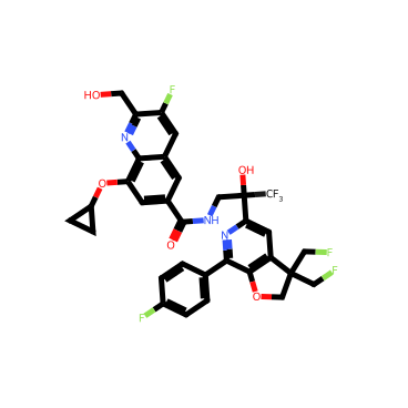 O=C(NCC(O)(c1cc2c(c(-c3ccc(F)cc3)n1)OCC2(CF)CF)C(F)(F)F)c1cc(OC2CC2)c2nc(CO)c(F)cc2c1